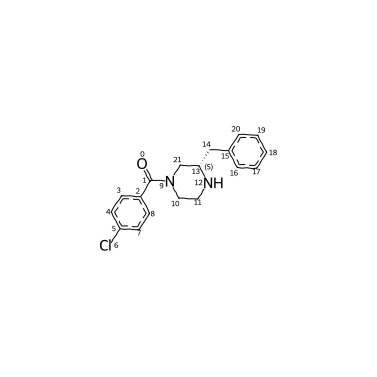 O=C(c1ccc(Cl)cc1)N1CCN[C@@H](Cc2ccccc2)C1